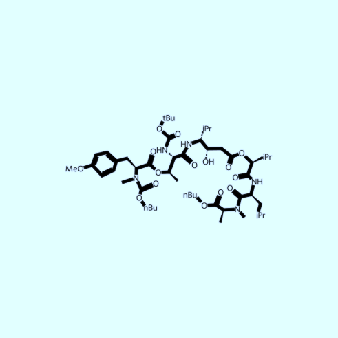 CCCCOC(=O)[C@H](C)N(C)C(=O)[C@H](CC(C)C)NC(=O)[C@@H](OC(=O)C[C@H](O)[C@H](NC(=O)[C@@H](NC(=O)OC(C)(C)C)[C@@H](C)OC(=O)[C@H](Cc1ccc(OC)cc1)N(C)C(=O)OCCCC)C(C)C)C(C)C